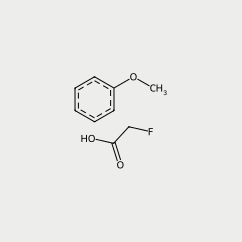 COc1ccccc1.O=C(O)CF